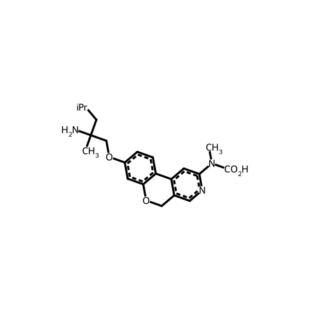 CC(C)CC(C)(N)COc1ccc2c(c1)OCc1cnc(N(C)C(=O)O)cc1-2